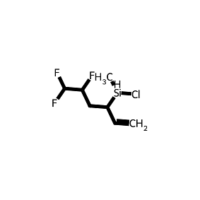 C=CC(CC(F)C(F)F)[SiH](C)Cl